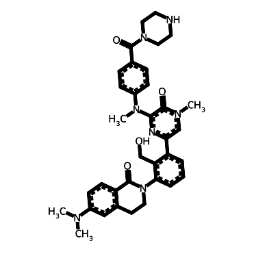 CN(C)c1ccc2c(c1)CCN(c1cccc(-c3cn(C)c(=O)c(N(C)c4ccc(C(=O)N5CCNCC5)cc4)n3)c1CO)C2=O